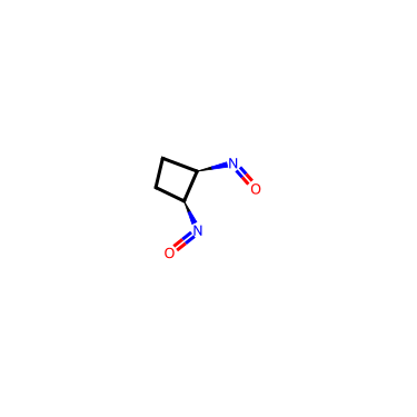 O=N[C@H]1CC[C@H]1N=O